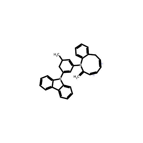 C=C1/C=C\C=C/Cc2ccccc2N1C1=CC(C)CC(n2c3ccccc3c3ccccc32)=C1